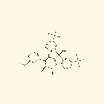 COc1cccc(N(NC(=O)C(O)(c2cccc(C(F)(F)F)c2)c2cccc(C(F)(F)F)c2)C(=O)CCl)c1